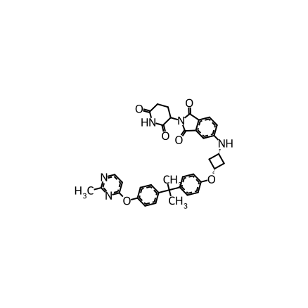 Cc1nccc(Oc2ccc(C(C)(C)c3ccc(O[C@H]4C[C@@H](Nc5ccc6c(c5)C(=O)N(C5CCC(=O)NC5=O)C6=O)C4)cc3)cc2)n1